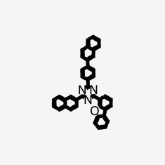 c1ccc2cc(-c3ccc(-c4nc(-c5ccc6ccccc6c5)nc(-c5cccc6c5oc5ccccc56)n4)cc3)ccc2c1